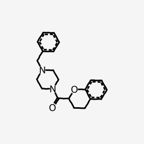 O=C(C1CCc2ccccc2O1)N1CCN(Cc2ccccc2)CC1